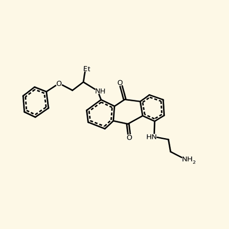 CCC(COc1ccccc1)Nc1cccc2c1C(=O)c1cccc(NCCN)c1C2=O